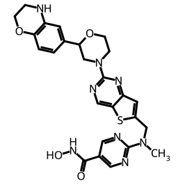 CN(Cc1cc2nc(N3CCOC(c4ccc5c(c4)NCCO5)C3)ncc2s1)c1ncc(C(=O)NO)cn1